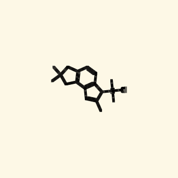 CC1=Cc2c(ccc3c2CC(C)(C)C3)C1S(C)(C)Cl